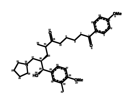 COc1ccc(C(=O)CCCCC(=O)C(C)C[C@H](CN2CCCC2)[C@H](O)c2ccc(OC)c(C)c2)cc1